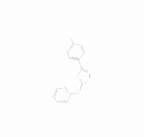 Cc1ccc(-c2noc(Nc3ccccc3)n2)cc1